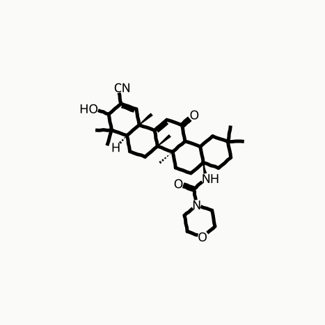 CC1(C)CC[C@]2(NC(=O)N3CCOCC3)CC[C@]3(C)C(C(=O)C=C4[C@@]5(C)C=C(C#N)C(O)C(C)(C)[C@@H]5CC[C@]43C)C2C1